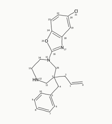 C=CCC1(Cc2ccccc2)CNCCN(c2nc3cc(Cl)ccc3o2)C1